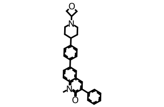 Cn1c(=O)c(-c2ccccc2)cc2cc(-c3ccc(C4CCN(C5COC5)CC4)cc3)ccc21